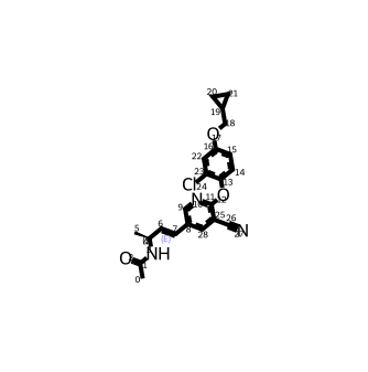 CC(=O)N[C@@H](C)/C=C/c1cnc(Oc2ccc(OCC3CC3)cc2Cl)c(C#N)c1